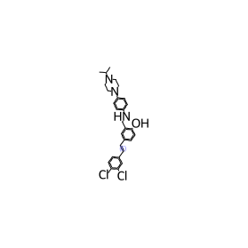 CC(C)N1CCN(c2ccc(NCc3cc(/C=C/c4ccc(Cl)c(Cl)c4)ccc3O)cc2)CC1